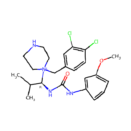 COc1cccc(NC(=O)N[C@@H](C(C)C)[N+]2(Cc3ccc(Cl)c(Cl)c3)CCNCC2)c1